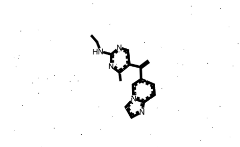 C=C(c1ccc2nccn2c1)c1cnc(NCC)nc1C